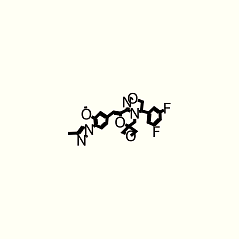 COc1cc(/C=C2\OC3(COC3)CN3C2=NOCC3c2cc(F)cc(F)c2)ccc1-n1cnc(C)c1